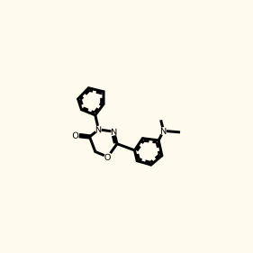 CN(C)c1cccc(C2=NN(c3ccccc3)C(=O)CO2)c1